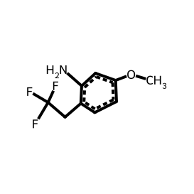 COc1ccc(CC(F)(F)F)c(N)c1